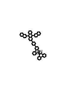 c1ccc2cc(-c3c4ccccc4c(-c4ccc5ccccc5c4)c4cc(-c5ccc(-c6ccc7c(c6)c6ccccc6n6c7nc7c8ccccc8c8ccccc8c76)cc5)ccc34)ccc2c1